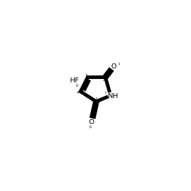 F.O=C1C=CC(=O)N1